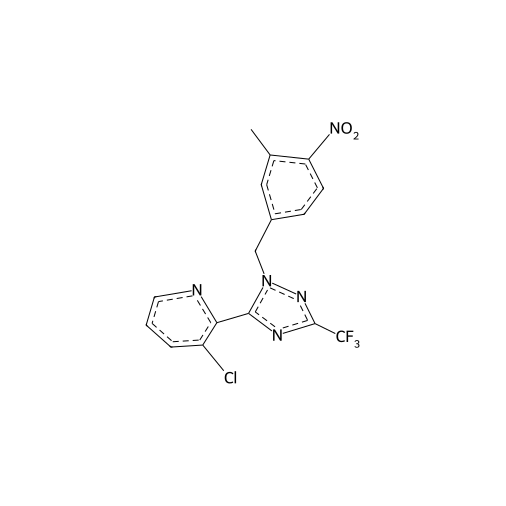 Cc1cc(Cn2nc(C(F)(F)F)nc2-c2ncccc2Cl)ccc1[N+](=O)[O-]